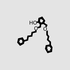 Oc1cccc(COCCCCCc2ccccc2)c1COCCCCCc1ccccc1